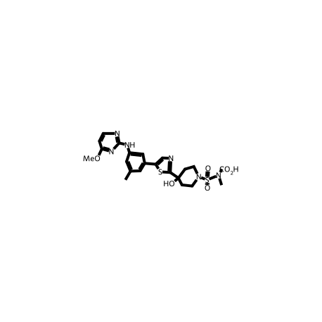 COc1ccnc(Nc2cc(C)cc(-c3cnc(C4(O)CCN(S(=O)(=O)N(C)C(=O)O)CC4)s3)c2)n1